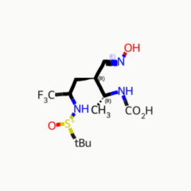 C[C@@H](NC(=O)O)[C@H](/C=N/O)CC(N[S+]([O-])C(C)(C)C)C(F)(F)F